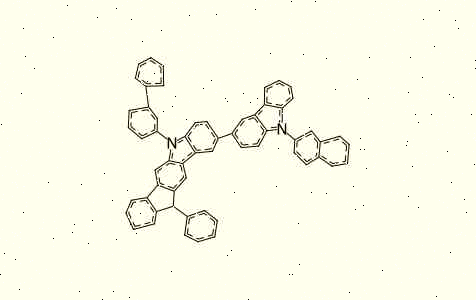 c1ccc(-c2cccc(-n3c4ccc(-c5ccc6c(c5)c5ccccc5n6-c5ccc6ccccc6c5)cc4c4cc5c(cc43)-c3ccccc3C5c3ccccc3)c2)cc1